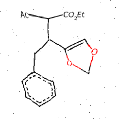 CCOC(=O)C(C(C)=O)C(Cc1ccccc1)C1=COCO1